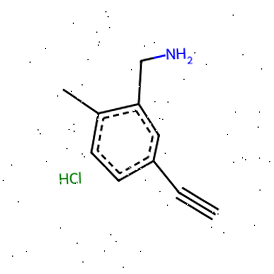 C#Cc1ccc(C)c(CN)c1.Cl